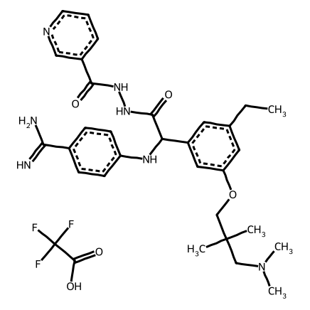 CCc1cc(OCC(C)(C)CN(C)C)cc(C(Nc2ccc(C(=N)N)cc2)C(=O)NNC(=O)c2cccnc2)c1.O=C(O)C(F)(F)F